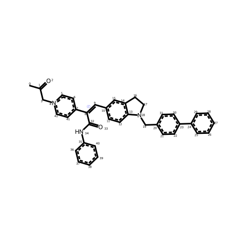 CC(=O)C[n+]1ccc(/C(=C/c2ccc3c(c2)CCN3Cc2ccc(-c3ccccc3)cc2)C(=O)Nc2ccccc2)cc1